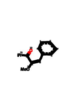 COC(=Cc1ccccc1)C(=O)C(C)C